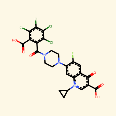 O=C(O)c1c(Cl)c(Cl)c(Cl)c(Cl)c1C(=O)N1CCN(c2cc3c(cc2F)c(=O)c(C(=O)O)cn3C2CC2)CC1